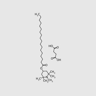 CCCCCCCCCCCCCCCCCC(=O)OC1CC(C)(C)N(C)C(C)(C)C1.O=C(O)CCC(=O)O